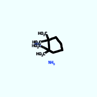 N.N.O=C(O)C1(C(=O)O)CCCCC1(C(=O)O)C(=O)O